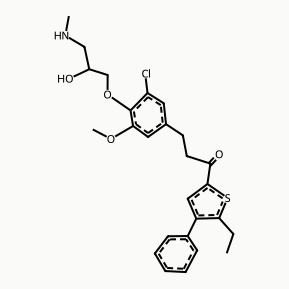 CCc1sc(C(=O)CCc2cc(Cl)c(OCC(O)CNC)c(OC)c2)cc1-c1ccccc1